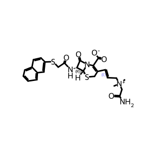 C[N+](C)(C/C=C/C1=C(C(=O)[O-])N2C(=O)[C@@H](NC(=O)CSc3ccc4ccccc4c3)[C@H]2SC1)CC(N)=O